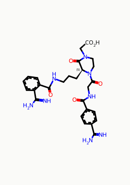 N=C(N)c1ccc(C(=O)NCC(=O)N2CCN(CC(=O)O)C(=O)[C@@H]2CCCNC(=O)c2ccccc2C(=N)N)cc1